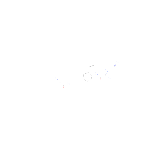 CC(C)(N)C(=O)N1CCC(c2ccc(NC(=O)C3=NC(C#N)CN3)c(C3=CCCCC3)c2)CC1